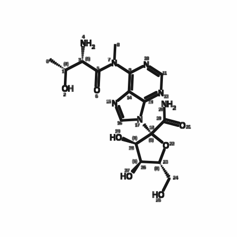 C[C@@H](O)[C@H](N)C(=O)N(C)c1ncnc2c1ncn2[C@]1(C(N)=O)O[C@H](CO)[C@@H](O)[C@H]1O